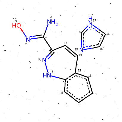 NC(=NO)C1=NNc2ccccc2C=C1.c1c[nH]cn1